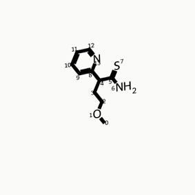 COCCC(C(N)=S)c1ccccn1